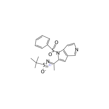 C/C(=N\[S@+]([O-])C(C)(C)C)c1cc2cnccc2n1S(=O)(=O)c1ccccc1